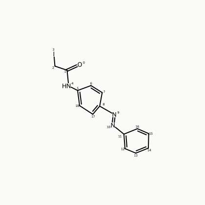 O=C(CI)Nc1ccc(N=Nc2ccccc2)cc1